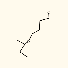 C[CH]C(C)OCCCCCl